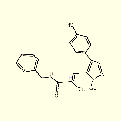 C/C(=C\c1c(-c2ccc(O)cc2)nnn1C)C(=O)NCc1ccccc1